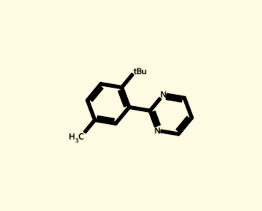 Cc1ccc(C(C)(C)C)c(-c2ncccn2)c1